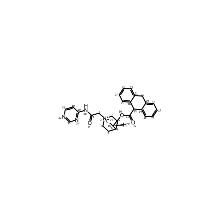 O=C(C[N+]12CCC(CC1)[C@@H](OC(=O)C1c3ccccc3Cc3ccccc31)C2)Nc1ccncn1